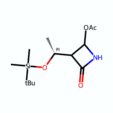 CC(=O)OC1NC(=O)C1[C@@H](C)O[Si](C)(C)C(C)(C)C